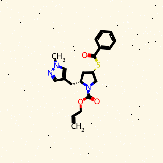 C=CCOC(=O)N1C[C@@H](SC(=O)c2ccccc2)C[C@H]1Cc1cnn(C)c1